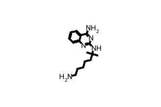 CC(C)(CCCCCN)Nc1nc(N)c2ccccc2n1